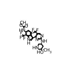 COC(=O)Nc1ccc2c(-c3nc(N[C@@H]4CNC[C@](C)(O)C4)ncc3C(F)(F)F)c[nH]c2c1C(F)(F)F